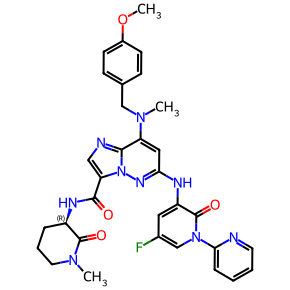 COc1ccc(CN(C)c2cc(Nc3cc(F)cn(-c4ccccn4)c3=O)nn3c(C(=O)N[C@@H]4CCCN(C)C4=O)cnc23)cc1